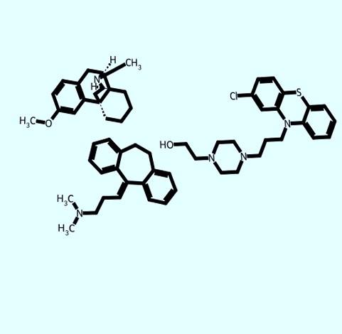 CN(C)CCC=C1c2ccccc2CCc2ccccc21.COc1ccc2c(c1)[C@]13CCCC[C@@H]1[C@H](C2)N(C)CC3.OCCN1CCN(CCCN2c3ccccc3Sc3ccc(Cl)cc32)CC1